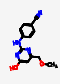 COCc1cc(O)nc(Nc2ccc(C#N)cc2)n1